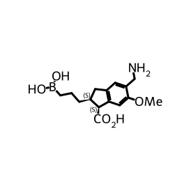 COc1cc2c(cc1CN)C[C@H](CCCB(O)O)[C@@H]2C(=O)O